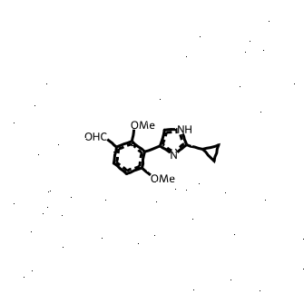 COc1ccc(C=O)c(OC)c1-c1c[nH]c(C2CC2)n1